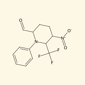 O=CC1CCC([N+](=O)[O-])C(C(F)(F)F)N1c1ccccc1